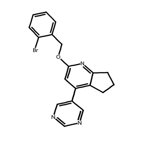 Brc1ccccc1COc1cc(-c2cncnc2)c2c(n1)CCC2